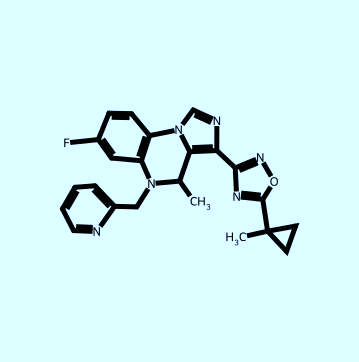 CC1c2c(-c3noc(C4(C)CC4)n3)ncn2-c2ccc(F)cc2N1Cc1ccccn1